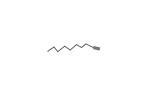 C#CCCCCCC[CH]C